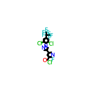 O=C(Cl)c1cc(-c2cnn(-c3c(Cl)cc(C(F)(C(F)(F)F)C(F)(F)F)cc3Cl)c2)cnc1F